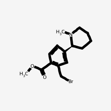 COC(=O)c1ccc([C@@H]2CCCCN2C)cc1CBr